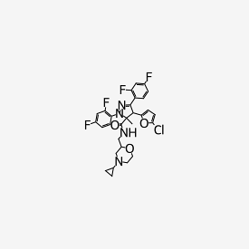 CC1(C(=O)NCC2CN(C3CC3)CCO2)C(c2ccc(Cl)o2)C(c2ccc(F)cc2F)=NN1c1ccc(F)cc1F